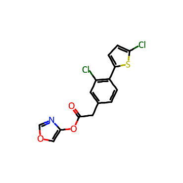 O=C(Cc1ccc(-c2ccc(Cl)s2)c(Cl)c1)Oc1cocn1